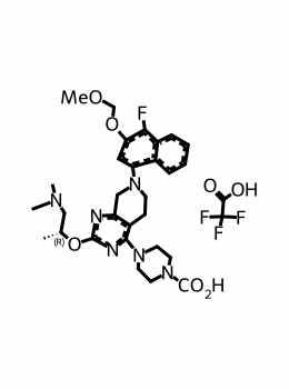 COCOc1cc(N2CCc3c(nc(O[C@H](C)CN(C)C)nc3N3CCN(C(=O)O)CC3)C2)c2ccccc2c1F.O=C(O)C(F)(F)F